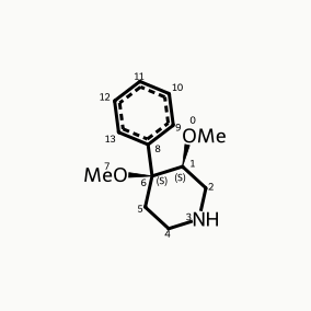 CO[C@H]1CNCC[C@]1(OC)c1ccccc1